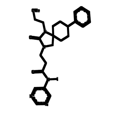 COCCN1C(=O)N(CCC(=O)N(I)c2cncnc2)CC12CCC(c1ccccc1)CC2